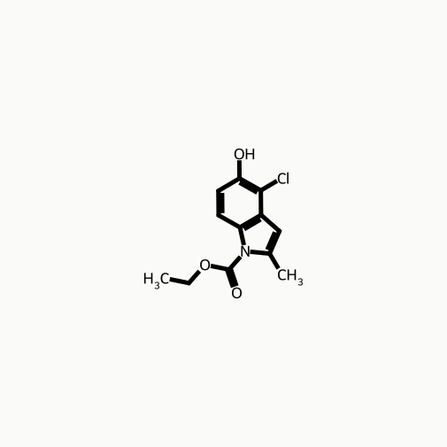 CCOC(=O)n1c(C)cc2c(Cl)c(O)ccc21